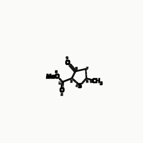 COC(=O)C1SC(C)CC1=O